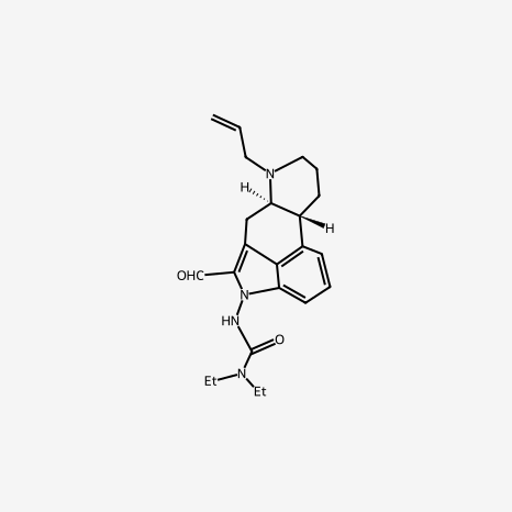 C=CCN1CCC[C@@H]2c3cccc4c3c(c(C=O)n4NC(=O)N(CC)CC)C[C@H]21